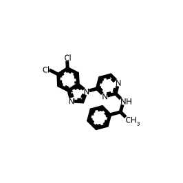 CC(Nc1nccc(-n2cnc3cc(Cl)c(Cl)cc32)n1)c1ccccc1